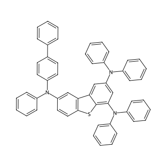 c1ccc(-c2ccc(N(c3ccccc3)c3ccc4sc5c(N(c6ccccc6)c6ccccc6)cc(N(c6ccccc6)c6ccccc6)cc5c4c3)cc2)cc1